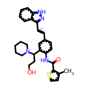 Cc1ccsc1C(=O)Nc1ccc(/C=C/c2n[nH]c3ccccc23)cc1C(CCO)N1CCCCC1